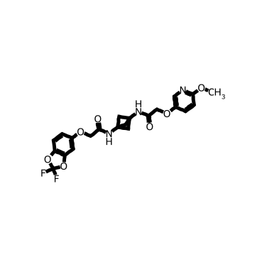 COc1ccc(OCC(=O)NC23CC(NC(=O)COc4ccc5c(c4)OC(F)(F)O5)(C2)C3)cn1